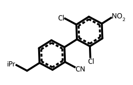 CC(C)Cc1ccc(-c2c(Cl)cc([N+](=O)[O-])cc2Cl)c(C#N)c1